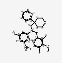 COc1c(C)cnc(CN(CC2(c3ccccn3)CCOCC2)c2cc(Cl)nc(N)n2)c1C